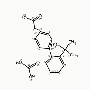 CC(C)(C)c1ccccc1-c1ccccc1.O=C(O)O.O=C(O)O